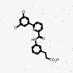 O=C(O)CCc1cccc(NC(=O)c2cccc(-c3cc(Cl)cc(Cl)c3)n2)c1